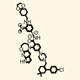 CC1(C)CCC(CN2CCN(c3ccc(C(=O)NS(=O)(=O)c4ccc(NCC5CCC6(CC5)OCCO6)c([N+](=O)[O-])c4)c(N4CCCOc5nc6[nH]ccc6cc54)c3)CC2)=C(c2ccc(Cl)cc2)C1